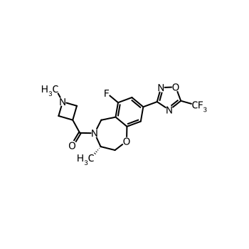 C[C@H]1COc2cc(-c3noc(C(F)(F)F)n3)cc(F)c2CN1C(=O)C1CN(C)C1